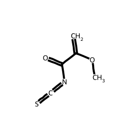 C=C(OC)C(=O)N=C=S